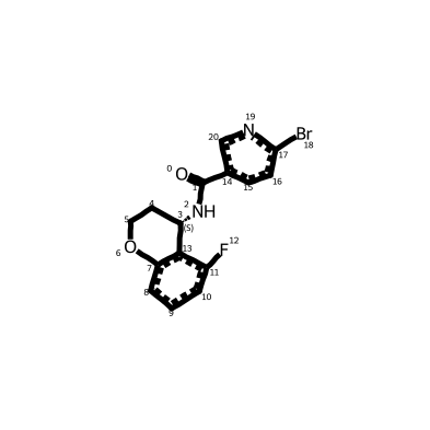 O=C(N[C@H]1CCOc2cccc(F)c21)c1ccc(Br)nc1